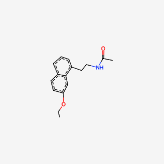 CCOc1ccc2cccc(CCNC(C)=O)c2c1